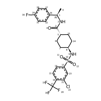 C[C@@H](NC(=O)[C@H]1CC[C@H](NS(=O)(=O)c2ccc(C(F)(F)F)c(Cl)c2)CC1)c1ccc(F)cc1